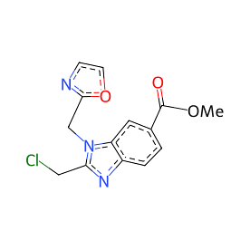 COC(=O)c1ccc2nc(CCl)n(Cc3ncco3)c2c1